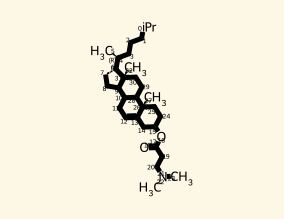 CC(C)CCC[C@@H](C)[C@H]1CCC2C3CC=C4CC(OC(=O)CCN(C)C)CC[C@]4(C)C3CC[C@@]21C